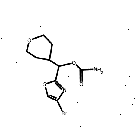 NC(=O)OC(c1nc(Br)cs1)C1CCOCC1